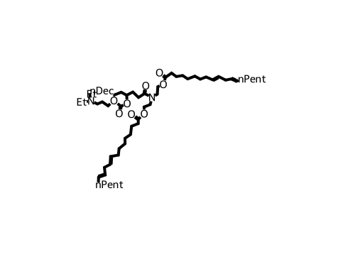 CCCCCC=CCC=CCCCCCCCC(=O)OCCN(CCOC(=O)CCCCCCCC=CCC=CCCCCC)C(=O)CCC(CCCCCCCCCCCC)OC(=O)OCCCN(CC)CC